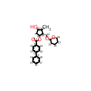 C=C1[C@H](O)C[C@H](OC(=O)c2ccc(-c3ccccc3)cc2)[C@H]1COC1CCCCO1